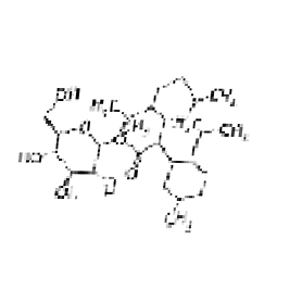 CC1CCC(C(C)C)C(C(C(=O)OC2O[C@H](CO)[C@@H](O)[C@H](O)[C@H]2O)C2CC(C)CCC2C(C)C)C1